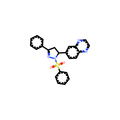 O=S(=O)(c1ccccc1)N1N=C(c2ccccc2)CC1c1ccc2nccnc2c1